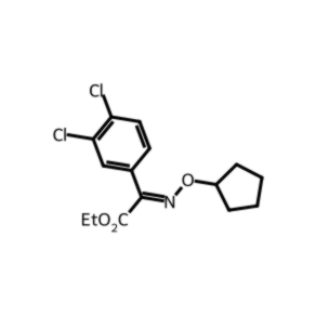 CCOC(=O)/C(=N/OC1CCCC1)c1ccc(Cl)c(Cl)c1